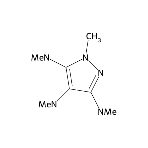 CNc1nn(C)c(NC)c1NC